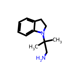 CC(C)(CN)N1CCc2ccccc21